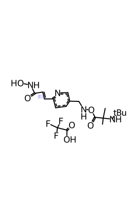 CC(C)(C)NC(C)(C)C(=O)ONCc1ccc(/C=C/C(=O)NO)nc1.O=C(O)C(F)(F)F